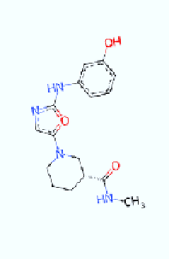 CNC(=O)[C@@H]1CCCN(c2cnc(Nc3cccc(O)c3)o2)C1